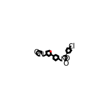 O=C1O[C@H](c2ccc(Cl)cc2)CN1Cc1ccc(-c2cccc(CN3CCOCC3)c2)cc1